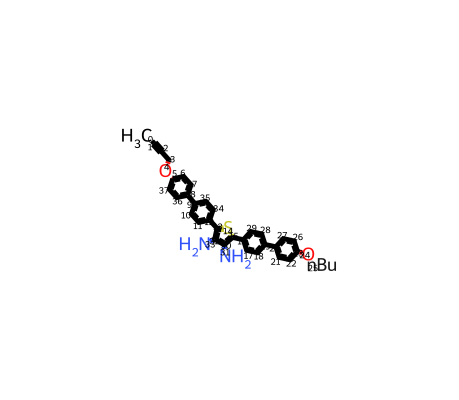 CC#CCOc1ccc(-c2ccc(-c3sc(-c4ccc(-c5ccc(OCCCC)cc5)cc4)c(N)c3N)cc2)cc1